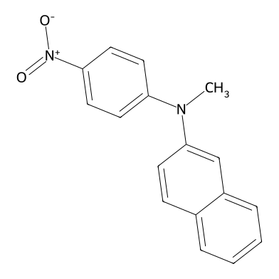 CN(c1ccc([N+](=O)[O-])cc1)c1ccc2ccccc2c1